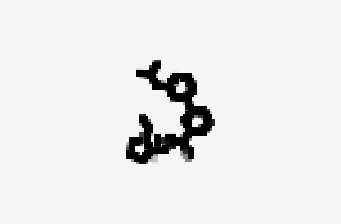 CCN1CCC[C@@H]1CNC(=O)c1cccc(-c2cccc(CC(C)C)c2)c1